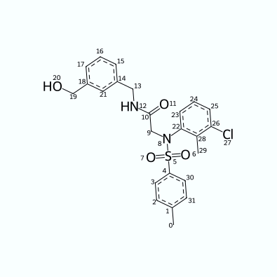 Cc1ccc(S(=O)(=O)N(CC(=O)NCc2cccc(CO)c2)c2cccc(Cl)c2C)cc1